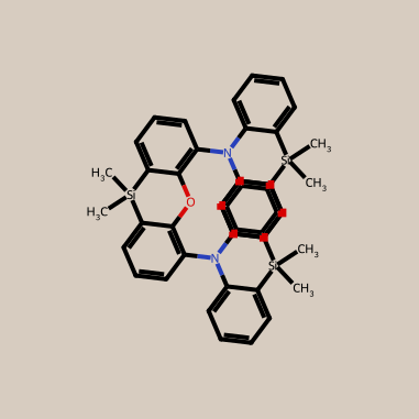 C[Si]1(C)c2ccccc2N(c2cccc3c2Oc2c(N4c5ccccc5[Si](C)(C)c5ccccc54)cccc2[Si]3(C)C)c2ccccc21